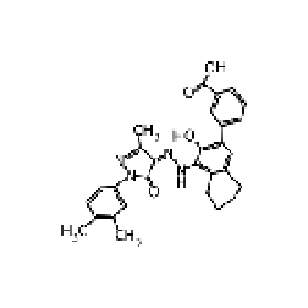 CC1=NN(c2ccc(C)c(C)c2)C(=O)/C1=N\Nc1c(O)c(-c2cccc(C(=O)O)c2)cc2c1CCCC2